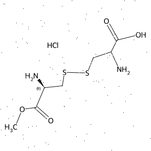 COC(=O)[C@@H](N)CSSCC(N)C(=O)O.Cl